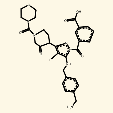 NCc1ccc(CNc2c(F)c(C3CCN(C(=O)N4CCOCC4)CC3=O)nn2C(=O)c2cccc(C(=O)O)c2)cc1